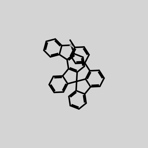 Cc1ccc(-c2cccc3c2C2(c4ccccc4-3)c3ccccc3-c3c2ccc2oc4ccccc4c32)cc1